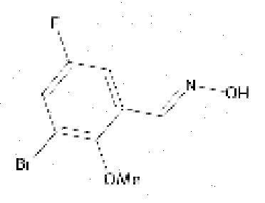 COc1c(Br)cc(F)cc1C=NO